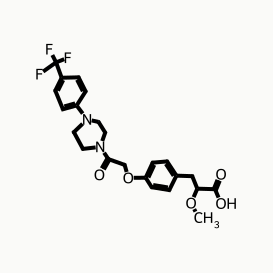 COC(Cc1ccc(OCC(=O)N2CCN(c3ccc(C(F)(F)F)cc3)CC2)cc1)C(=O)O